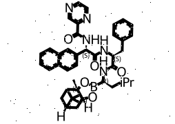 CC(C)C[C@H](NC(=O)[C@H](Cc1ccccc1)NC(=O)[C@@H](NC(=O)c1cnccn1)c1ccc2ccccc2c1)B1O[C@@H]2C[C@@H]3CC(C3(C)C)[C@]2(C)O1